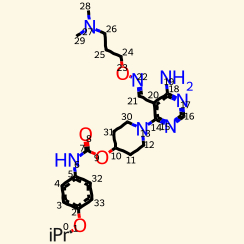 CC(C)Oc1ccc(NC(=O)OC2CCN(c3ncnc(N)c3C=NOCCCN(C)C)CC2)cc1